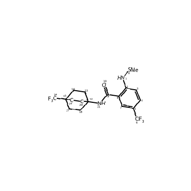 CSNc1ccc(C(F)(F)F)cc1C(=O)NC12CCC(C(F)(F)F)(CC1)CC2